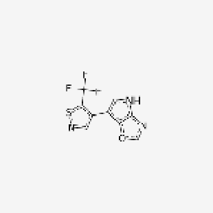 FC(F)(F)c1sncc1-c1c[nH]c2ncoc12